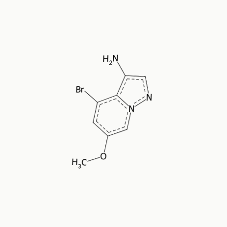 COc1cc(Br)c2c(N)cnn2c1